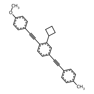 COc1ccc(C#Cc2ccc(C#Cc3ccc(C)cc3)cc2C2CCC2)cc1